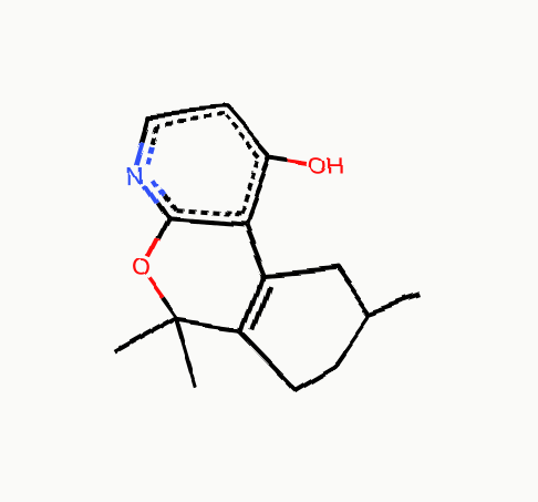 CC1CCC2=C(C1)c1c(O)ccnc1OC2(C)C